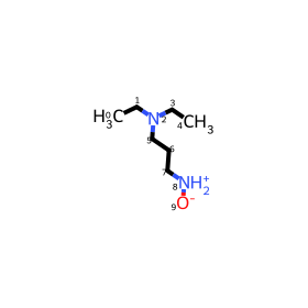 CCN(CC)CCC[NH2+][O-]